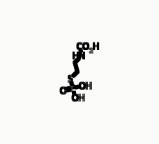 O=C(O)NCCSP(=O)(O)O